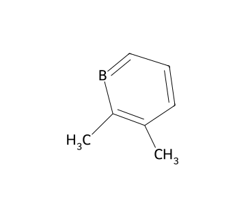 Cc1bcccc1C